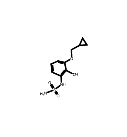 N#Cc1c(NS(N)(=O)=O)cccc1OCC1CC1